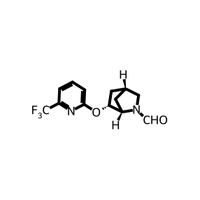 O=CN1C[C@H]2C[C@@H](Oc3cccc(C(F)(F)F)n3)[C@@H]1C2